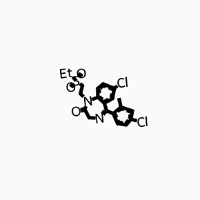 CCS(=O)(=O)CCN1C(=O)CN=C(c2ccc(Cl)cc2C)c2cc(Cl)ccc21